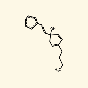 CCCCC1=CCC(O)(N=Nc2ccccc2)C=C1